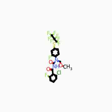 COCN(C(=O)NC(=O)c1c(F)cccc1Cl)c1ccc(SC(F)(F)C(F)(F)C(F)(F)F)cc1F